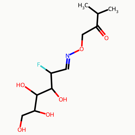 CC(C)C(=O)CON=CC(F)C(O)C(O)C(O)CO